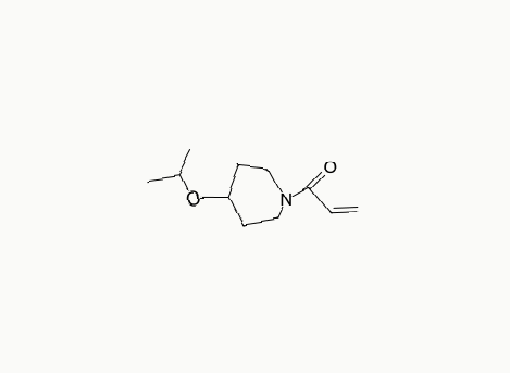 C=CC(=O)N1CCC(OC(C)C)CC1